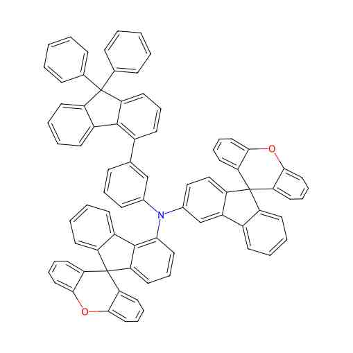 c1ccc(C2(c3ccccc3)c3ccccc3-c3c(-c4cccc(N(c5ccc6c(c5)-c5ccccc5C65c6ccccc6Oc6ccccc65)c5cccc6c5-c5ccccc5C65c6ccccc6Oc6ccccc65)c4)cccc32)cc1